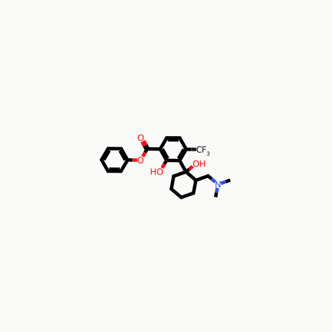 CN(C)CC1CCCCC1(O)c1c(C(F)(F)F)ccc(C(=O)Oc2ccccc2)c1O